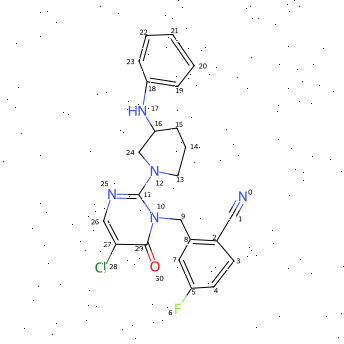 N#Cc1ccc(F)cc1Cn1c(N2CCCC(Nc3ccccc3)C2)ncc(Cl)c1=O